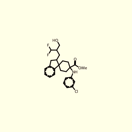 COC(=O)C1(Nc2cccc(Cl)c2)CCC2(CC1)c1ccccc1CC2CC(CO)C(F)F